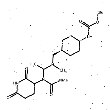 CNC(=O)N(C1CCC(=O)NC1=O)C(C)N(C)C[C@H]1CC[C@H](NC(=O)OC(C)(C)C)CC1